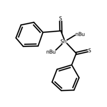 CCC[CH2][Sn]([CH2]CCC)([C](=S)c1ccccc1)[C](=S)c1ccccc1